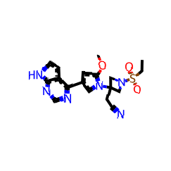 CCS(=O)(=O)N1CC(CC#N)(n2cc(-c3ncnc4[nH]ccc34)cc2OC)C1